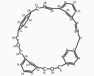 C1=N/Cc2ccc(cc2)COCc2cccc(n2)COCc2ccc(cc2)C/N=C/c2cccc/1c2